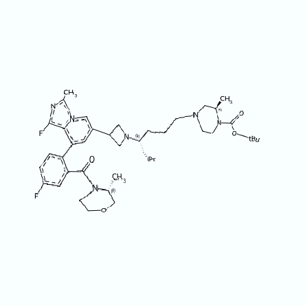 Cc1nc(F)c2c(-c3ccc(F)cc3C(=O)N3CCOC[C@H]3C)cc(C3CN([C@H](CCCN4CCN(C(=O)OC(C)(C)C)[C@H](C)C4)C(C)C)C3)cn12